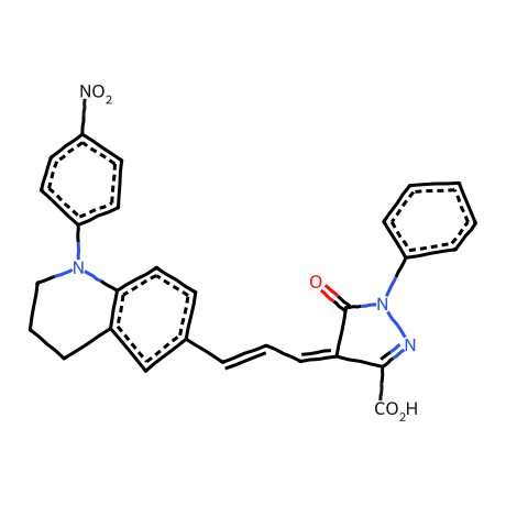 O=C(O)C1=NN(c2ccccc2)C(=O)/C1=C\C=C\c1ccc2c(c1)CCCN2c1ccc([N+](=O)[O-])cc1